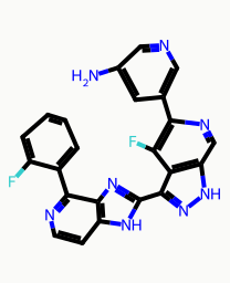 Nc1cncc(-c2ncc3[nH]nc(-c4nc5c(-c6ccccc6F)nccc5[nH]4)c3c2F)c1